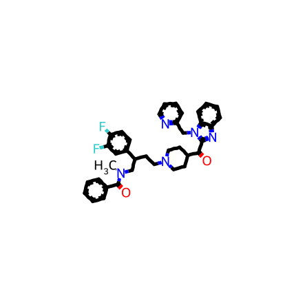 CN(CC(CCN1CCC(C(=O)c2nc3ccccc3n2Cc2ccccn2)CC1)c1ccc(F)c(F)c1)C(=O)c1ccccc1